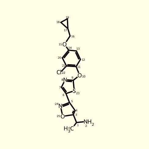 CC(N)c1cc(-c2cnc(Oc3ccc(OCC4CC4)cc3Cl)s2)no1